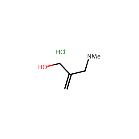 C=C(CO)CNC.Cl